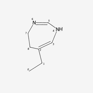 CCC1=CNC=NCC1